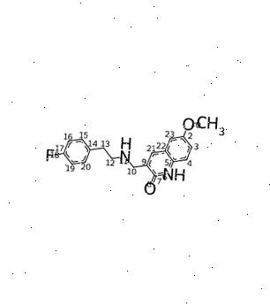 COc1ccc2[nH]c(=O)c(CNCCc3ccc(F)cc3)cc2c1